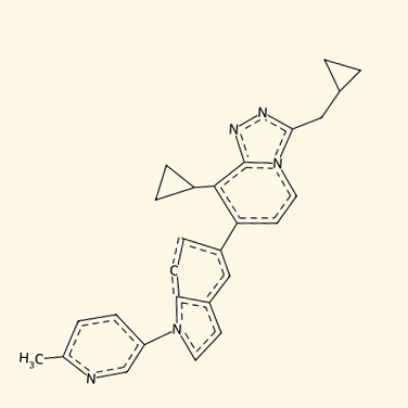 Cc1ccc(-n2ccc3cc(-c4ccn5c(CC6CC6)nnc5c4C4CC4)ccc32)cn1